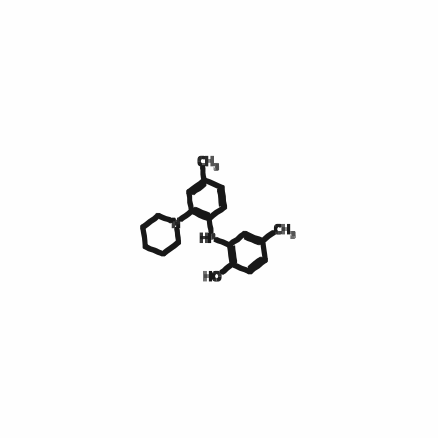 Cc1ccc(O)c(Pc2ccc(C)cc2N2CCCCC2)c1